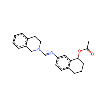 CC(=O)OC1CCCc2ccc(/N=C/N3CCc4ccccc4C3)cc21